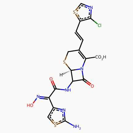 Nc1nc(/C(=N\O)C(=O)NC2C(=O)N3C(C(=O)O)=C(/C=C/c4scnc4Cl)CS[C@H]23)cs1